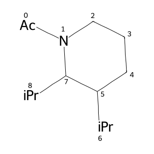 CC(=O)N1CCCC(C(C)C)C1C(C)C